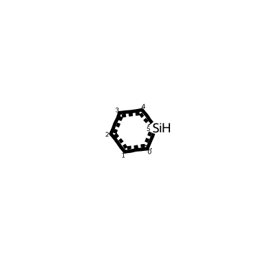 [c]1cccc[siH]1